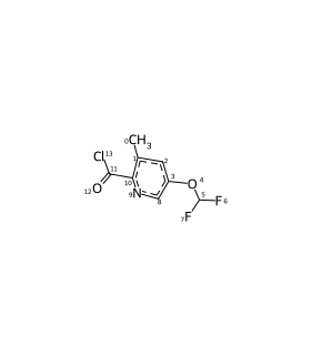 Cc1cc(OC(F)F)cnc1C(=O)Cl